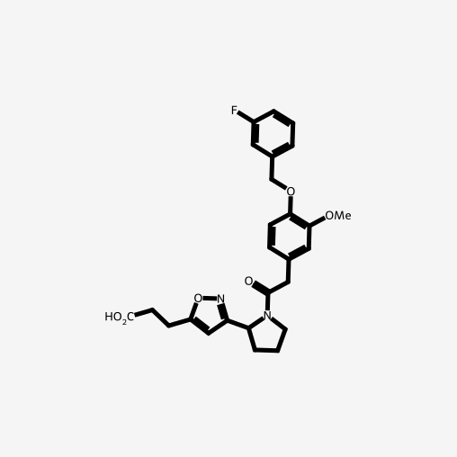 COc1cc(CC(=O)N2CCCC2c2cc(CCC(=O)O)on2)ccc1OCc1cccc(F)c1